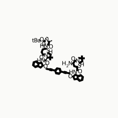 C[C@@H](C(=O)NC1CCC(=O)N2[C@H](CC(C)(C)[C@H]2C(=O)N[C@H]2c3ccccc3C[C@H]2OCC#Cc2ccc(C#CCO[C@@H]3Cc4ccccc4[C@@H]3NC(=O)C3C[C@H](N)C(=O)N4CC(C)(C)C[C@@H]4S3)cc2)S1)N(C)C(=O)OC(C)(C)C